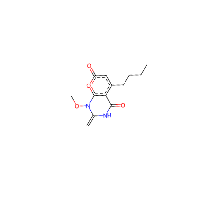 C=C1NC(=O)c2c(CCCC)cc(=O)oc2N1OC